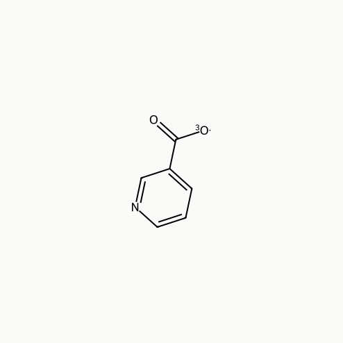 O=C([3O])c1cccnc1